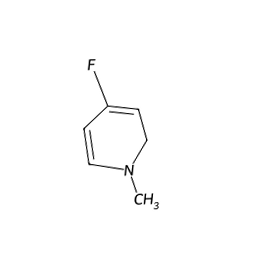 CN1C=CC(F)=CC1